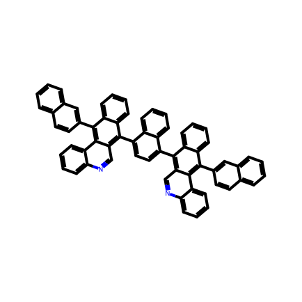 c1ccc2cc(-c3c4ccccc4c(-c4ccc(-c5c6ccccc6c(-c6ccc7ccccc7c6)c6c5cnc5ccccc56)c5ccccc45)c4cnc5ccccc5c34)ccc2c1